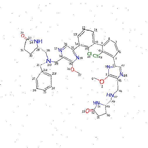 COc1nc(-c2cccc(-c3cccc(-c4cnc(CN(Cc5ccccc5)C[C@@H]5CCC(=O)N5)c(OC)n4)c3Cl)c2Cl)cnc1CNC[C@@H]1CCC(=O)N1